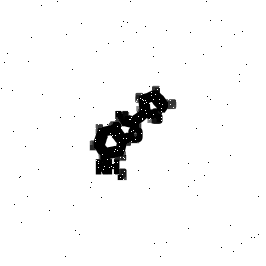 Nc1ccc2nc(-c3cccs3)oc2c1